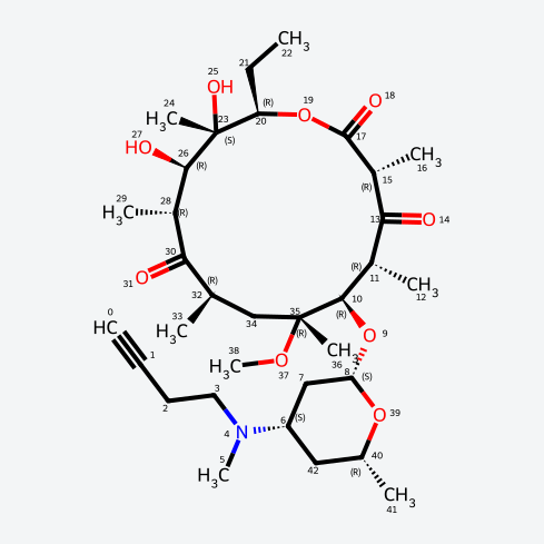 C#CCCN(C)[C@@H]1C[C@H](O[C@@H]2[C@@H](C)C(=O)[C@@H](C)C(=O)O[C@H](CC)[C@@](C)(O)[C@H](O)[C@@H](C)C(=O)[C@H](C)C[C@@]2(C)OC)O[C@H](C)C1